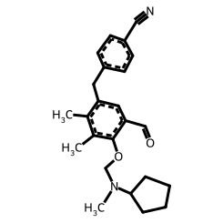 Cc1c(Cc2ccc(C#N)cc2)cc(C=O)c(OCN(C)C2CCCC2)c1C